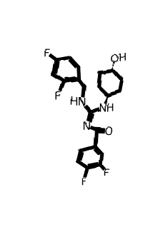 O=C(/N=C(/NCc1ccc(F)cc1F)N[C@H]1CC[C@H](O)CC1)c1ccc(F)c(F)c1